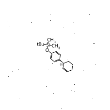 CC(C)(C)[Si](C)(C)Oc1ccc([C@@H]2C=CCCC2)cc1